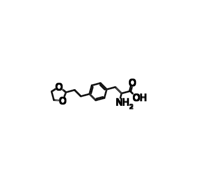 NC(Cc1ccc(CCC2OCCO2)cc1)C(=O)O